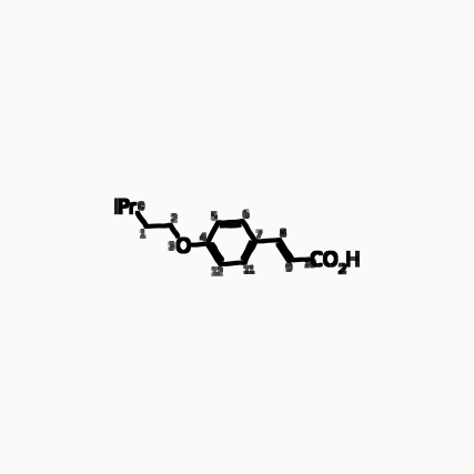 CC(C)CCOc1ccc(/C=C/C(=O)O)cc1